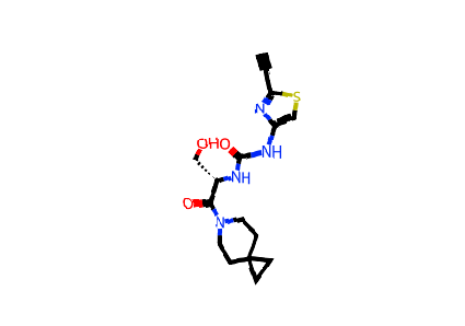 C#Cc1nc(NC(=O)N[C@@H](CO)C(=O)N2CCC3(CC2)CC3)cs1